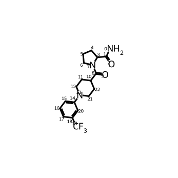 NC(=O)C1CCCN1C(=O)C1CCN(c2cccc(C(F)(F)F)c2)CC1